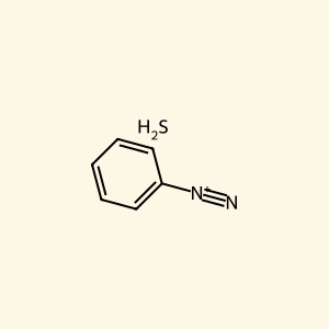 N#[N+]c1ccccc1.S